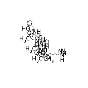 CCCC(NC(=O)[C@@H]1[C@H]2CCC[C@H]2CN1C(=O)[C@@H](NC(=O)[C@H](NC(=O)CCCCc1nnn[nH]1)C(C)C)C(C)C)C(=O)C(=O)N[C@@H](Cc1ccccc1)C(=O)O